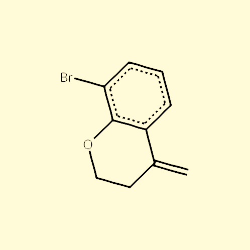 C=C1CCOc2c(Br)cccc21